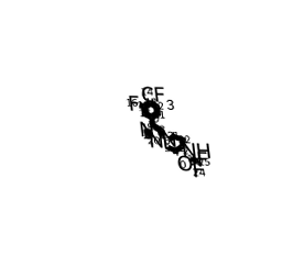 O=C(NC1CCN(c2cc(-c3ccc(C(F)(F)F)c(F)c3)ncn2)CC1)C(F)F